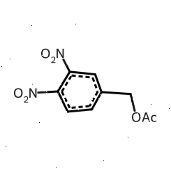 CC(=O)OCc1ccc([N+](=O)[O-])c([N+](=O)[O-])c1